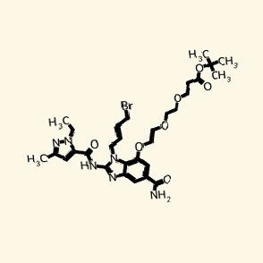 CCn1nc(C)cc1C(=O)Nc1nc2cc(C(N)=O)cc(OCCOCCOCCC(=O)OC(C)(C)C)c2n1C/C=C/CBr